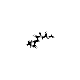 CCOC(=O)CN(C)C(=O)/C=C1\OC(C)(C)OC1=O